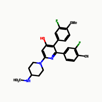 COc1ccc(-c2c(O)cc(N3CCC(NC(=O)O)CC3)nc2-c2ccc(C#N)c(F)c2)cc1F